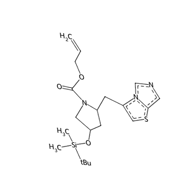 C=CCOC(=O)N1CC(O[Si](C)(C)C(C)(C)C)CC1Cc1csc2cncn12